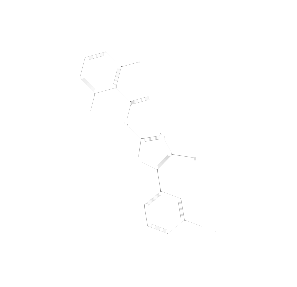 CC(C)c1nc(NC(=O)c2c(F)cccc2F)sc1-c1cccc(C(F)(F)F)c1